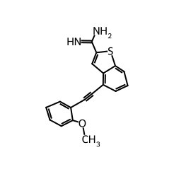 COc1ccccc1C#Cc1cccc2sc(C(=N)N)cc12